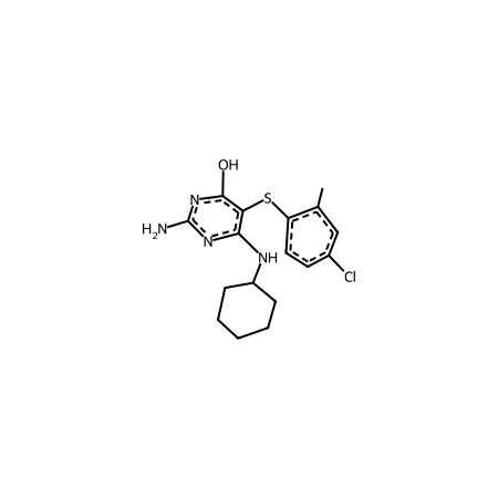 Cc1cc(Cl)ccc1Sc1c(O)nc(N)nc1NC1CCCCC1